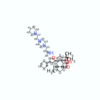 CC(C)C1=CC2CC3(C=O)[C@@H]4CC[C@@H](C)[C@H]4CC2([C@H]2CC(C4CCCCC4)[C@H](CNCCN4CCN(CCN5CCCCC5)CC4)O2)[C@]13C(=O)O